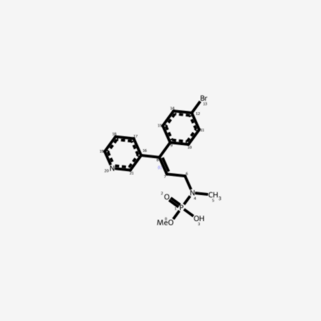 COP(=O)(O)N(C)C/C=C(\c1ccc(Br)cc1)c1cccnc1